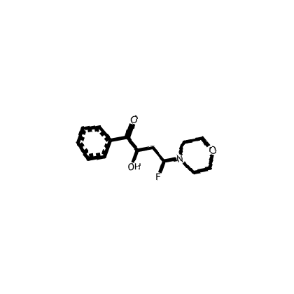 O=C(c1ccccc1)C(O)CC(F)N1CCOCC1